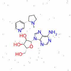 CN1CCC[C@H]1c1cccnc1.Nc1ncnc2c1ncn2[C@@H]1O[C@H](CO)[C@@H](O)[C@H]1O